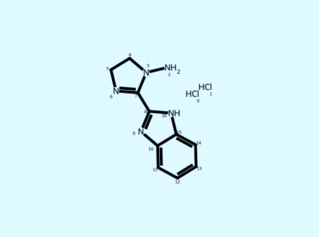 Cl.Cl.NN1CCN=C1c1nc2ccccc2[nH]1